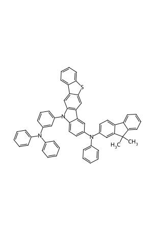 CC1(C)c2ccccc2-c2ccc(N(c3ccccc3)c3ccc4c(c3)c3cc5sc6ccccc6c5cc3n4-c3cccc(N(c4ccccc4)c4ccccc4)c3)cc21